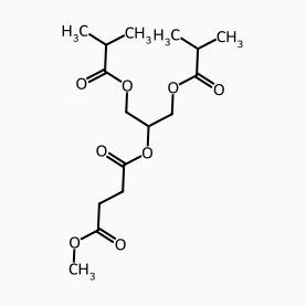 COC(=O)CCC(=O)OC(COC(=O)C(C)C)COC(=O)C(C)C